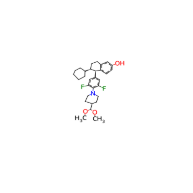 COC(OC)C1CCN(c2c(F)cc([C@@H]3c4ccc(O)cc4CC[C@@H]3C3CCCCC3)cc2F)CC1